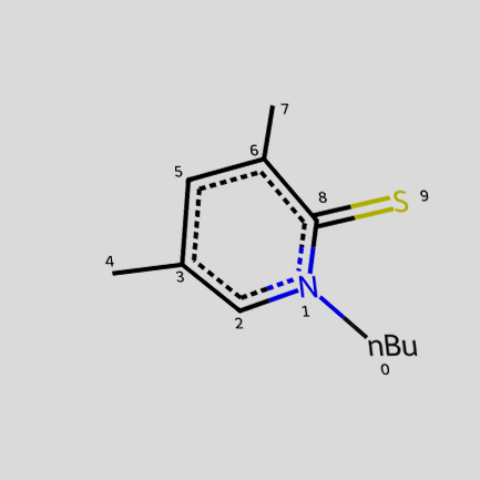 CCCCn1cc(C)cc(C)c1=S